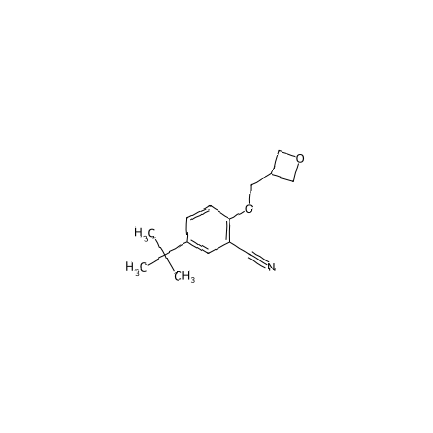 CC(C)(C)c1ccc(OCC2COC2)c(C#N)c1